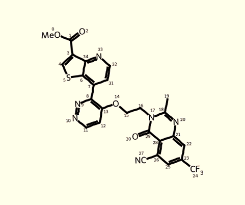 COC(=O)c1csc2c(-c3nnccc3OCCn3c(C)nc4cc(C(F)(F)F)cc(C#N)c4c3=O)ccnc12